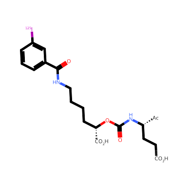 CC(=O)[C@H](CCC(=O)O)NC(=O)O[C@@H](CCCCNC(=O)c1cccc([125I])c1)C(=O)O